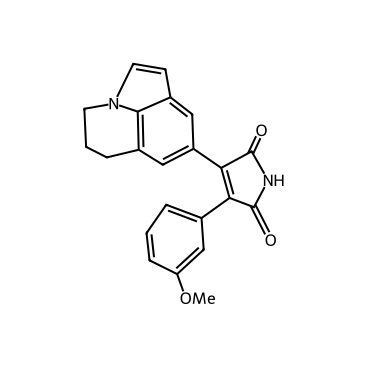 COc1cccc(C2=C(c3cc4c5c(ccn5CCC4)c3)C(=O)NC2=O)c1